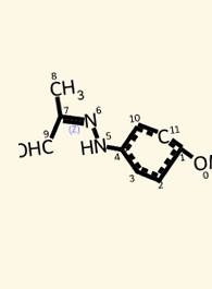 COc1ccc(N/N=C(/C)C=O)cc1